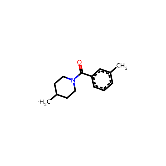 [CH2]C1CCN(C(=O)c2cccc(C)c2)CC1